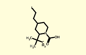 CC(C)(C)C1CC(CCI)CCN1C(=O)O